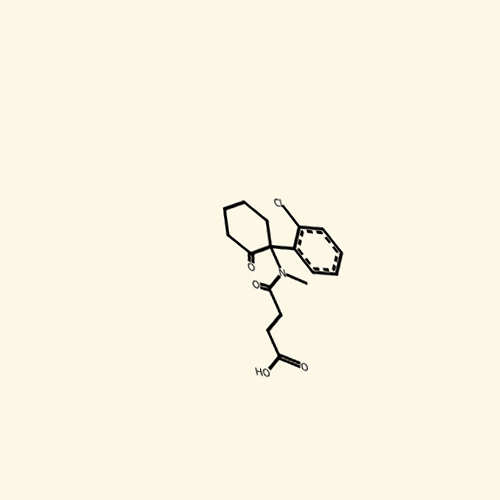 CN(C(=O)CCC(=O)O)C1(c2ccccc2Cl)CCCCC1=O